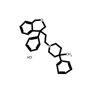 CC1(c2ccccc2)CCN(CCC2(c3ccccc3)COCc3ccccc32)CC1.Cl